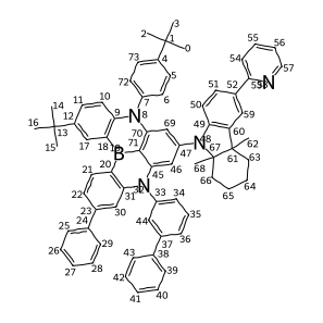 CC(C)(C)c1ccc(N2c3ccc(C(C)(C)C)cc3B3c4ccc(-c5ccccc5)cc4N(c4cccc(-c5ccccc5)c4)c4cc(N5c6ccc(-c7ccccn7)cc6C6(C)CCCCC56C)cc2c43)cc1